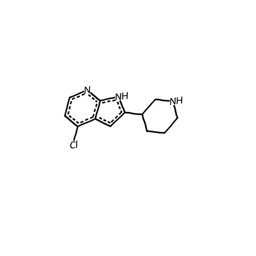 Clc1ccnc2[nH]c(C3CCCNC3)cc12